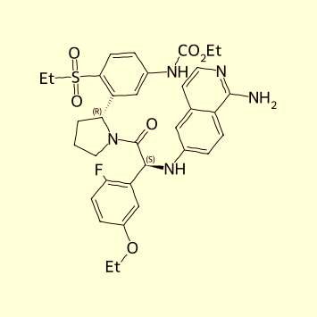 CCOC(=O)Nc1ccc(S(=O)(=O)CC)c([C@H]2CCCN2C(=O)[C@@H](Nc2ccc3c(N)nccc3c2)c2cc(OCC)ccc2F)c1